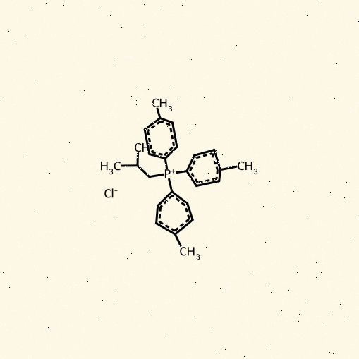 Cc1ccc([P+](CC(C)C)(c2ccc(C)cc2)c2ccc(C)cc2)cc1.[Cl-]